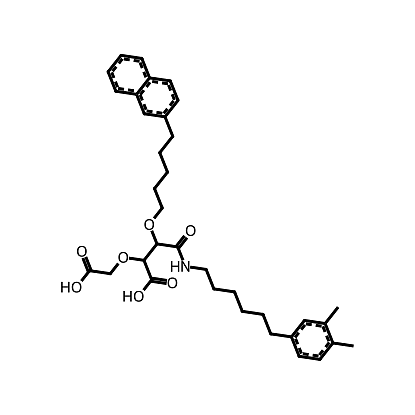 Cc1ccc(CCCCCCNC(=O)C(OCCCCCc2ccc3ccccc3c2)C(OCC(=O)O)C(=O)O)cc1C